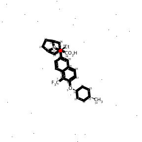 CC[C@@H](c1ccc2c(C(F)(F)F)c(O[C@H]3CC[C@@H](C)CC3)ccc2c1)N1C2CCC1CC(C(=O)O)C2